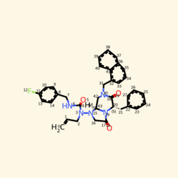 C=CCN(C(=O)NCc1ccc(F)cc1)N1CC(=O)N2[C@@H](Cc3ccccc3)C(=O)N(Cc3cccc4ccccc34)C[C@@H]21